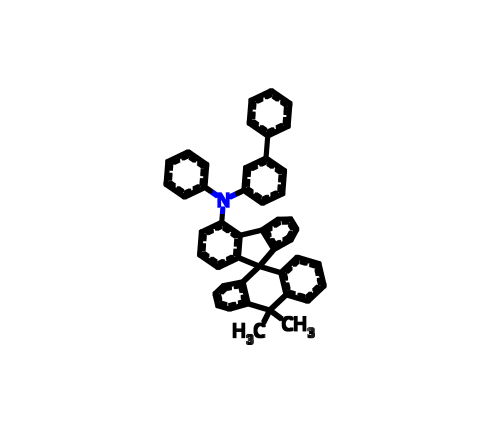 CC1(C)c2ccccc2C2(c3ccccc3-c3c(N(c4ccccc4)c4cccc(-c5ccccc5)c4)cccc32)c2ccccc21